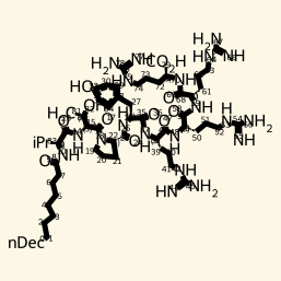 CCCCCCCCCCCCCCCCCC(=O)N[C@H](C(=O)N[C@H](C(=O)N1CCC[C@H]1C(=O)N[C@@H](Cc1ccc(O)cc1)C(=O)N[C@@H](CCCNC(=N)N)C(=O)N[C@@H](CCCNC(=N)N)C(=O)N[C@@H](CCCNC(=N)N)C(=O)N[C@@H](CCCNC(=N)N)C(=O)O)[C@@H](C)O)C(C)C